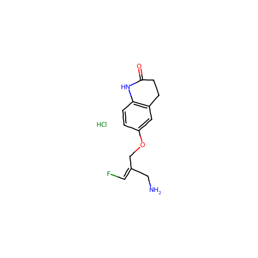 Cl.NC/C(=C/F)COc1ccc2c(c1)CCC(=O)N2